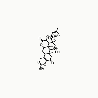 CCCC(=O)OC1=C(C)C2CC3OC(=O)C(OC(=O)C=C(C)C)C4C(C)(C(=O)OC)CC(O)C(C2(C)CC1=O)C34CO